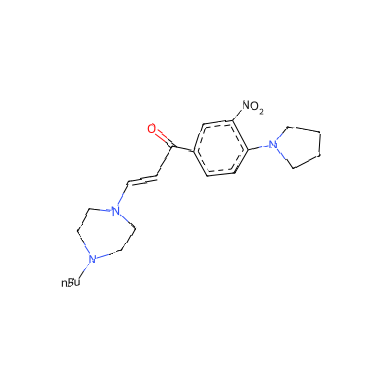 CCCCN1CCN(C=CC(=O)c2ccc(N3CCCC3)c([N+](=O)[O-])c2)CC1